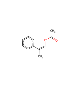 CC(=O)O/C=C(/C)c1ccccc1